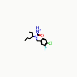 CCCC(CC)N(Cc1ccc(Cl)c(F)c1)C(N)=O